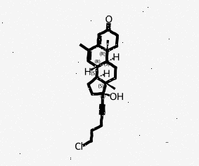 CC1=C[C@@H]2[C@H](CC[C@@]3(C)[C@H]2CC[C@@]3(O)C#CCCCCl)[C@@]2(C)CCC(=O)C=C12